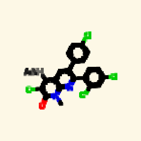 CC(=O)Nc1c(Cl)c(=O)n(C)c2nc(-c3ccc(Cl)cc3Cl)c(-c3ccc(Cl)cc3)cc12